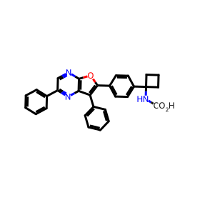 O=C(O)NC1(c2ccc(-c3oc4ncc(-c5ccccc5)nc4c3-c3ccccc3)cc2)CCC1